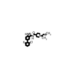 COCC(C)N1CCC(C(=O)Nc2n[nH]c3ccc(-c4c(F)cccc4Cl)cc23)CC1